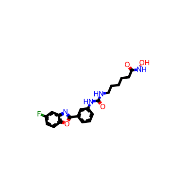 O=C(CCCCCNC(=O)Nc1cccc(-c2nc3cc(F)ccc3o2)c1)NO